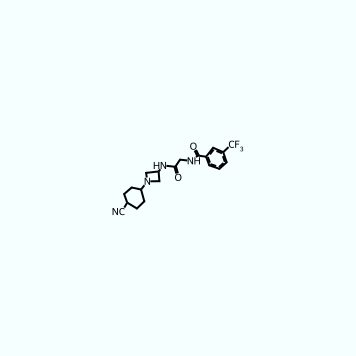 N#CC1CCC(N2CC(NC(=O)CNC(=O)c3cccc(C(F)(F)F)c3)C2)CC1